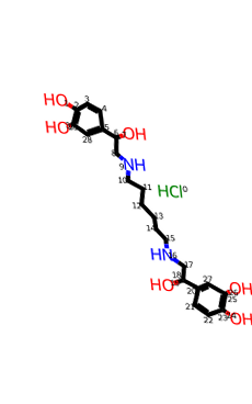 Cl.Oc1ccc(C(O)CNCCCCCCNCC(O)c2ccc(O)c(O)c2)cc1O